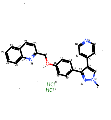 Cl.Cl.Cn1cc(-c2ccncc2)c(-c2ccc(OCc3ccc4ccccc4n3)cc2)n1